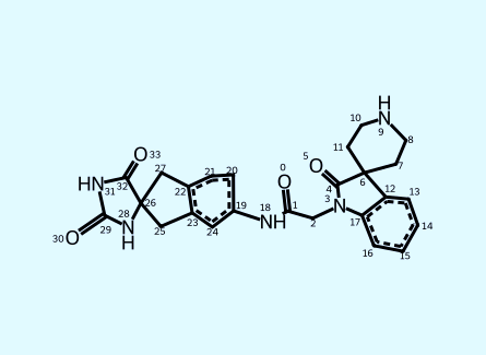 O=C(CN1C(=O)C2(CCNCC2)c2ccccc21)Nc1ccc2c(c1)CC1(C2)NC(=O)NC1=O